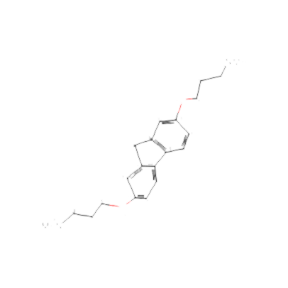 CNCCCOc1ccc2c(c1)Cc1cc(OCCCNC)ccc1-2